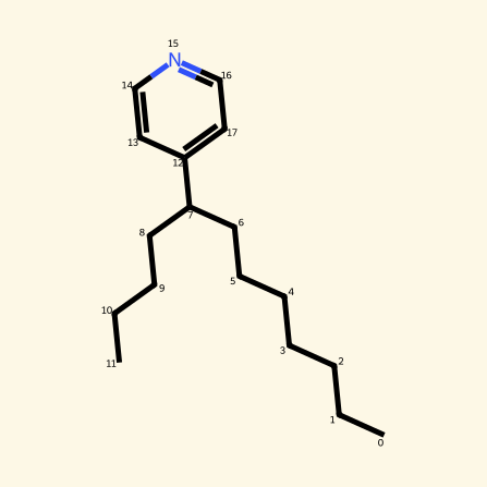 CCCCCCCC(CCCC)c1ccncc1